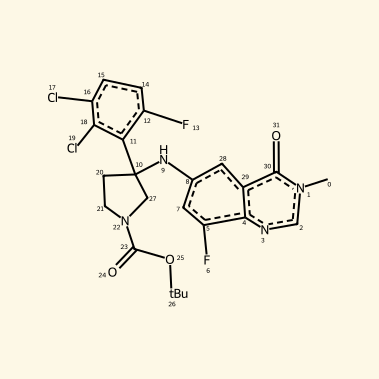 Cn1cnc2c(F)cc(NC3(c4c(F)ccc(Cl)c4Cl)CCN(C(=O)OC(C)(C)C)C3)cc2c1=O